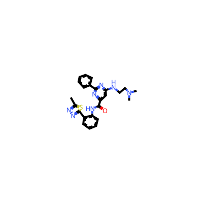 Cc1nnc(-c2ccccc2NC(=O)c2cc(NCCN(C)C)nc(-c3ccccc3)n2)s1